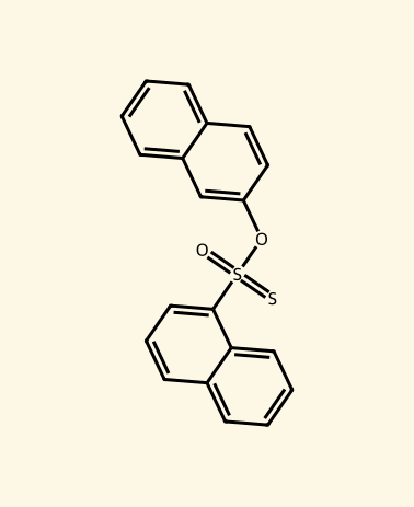 O=S(=S)(Oc1ccc2ccccc2c1)c1cccc2ccccc12